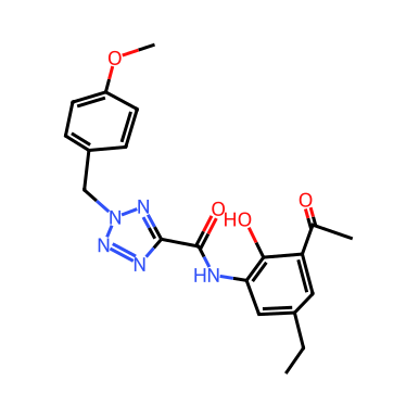 CCc1cc(NC(=O)c2nnn(Cc3ccc(OC)cc3)n2)c(O)c(C(C)=O)c1